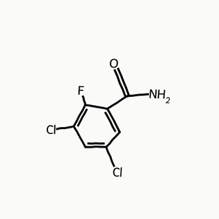 NC(=O)c1cc(Cl)cc(Cl)c1F